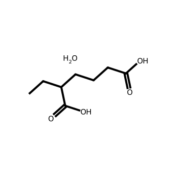 CCC(CCCC(=O)O)C(=O)O.O